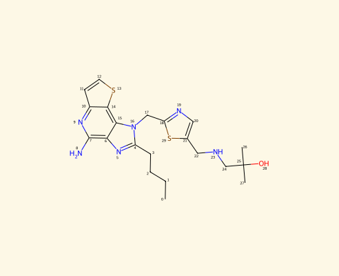 CCCCc1nc2c(N)nc3ccsc3c2n1Cc1ncc(CNCC(C)(C)O)s1